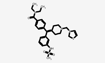 CCN(CC)C(=O)c1ccc(C(=C2CCN(CN3C=CSC3)CC2)c2cccc(NS(C)(=O)=O)c2)cc1